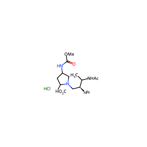 CCC[C@@H](CN1CC(NC(=O)OC)CC1C(=O)O)C(C)NC(C)=O.Cl